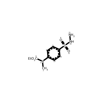 CCOC(=O)N(C)c1ccc(S(=O)(=O)NN)cc1